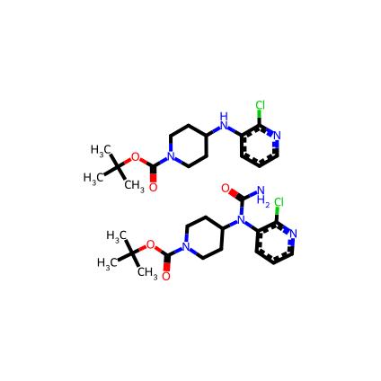 CC(C)(C)OC(=O)N1CCC(N(C(N)=O)c2cccnc2Cl)CC1.CC(C)(C)OC(=O)N1CCC(Nc2cccnc2Cl)CC1